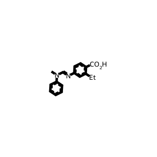 CCc1cc(N=CN(C)c2ccccc2)ccc1C(=O)O